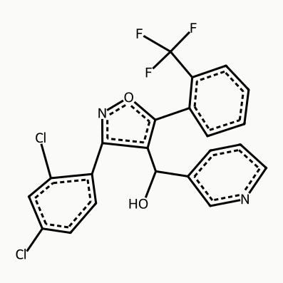 OC(c1cccnc1)c1c(-c2ccc(Cl)cc2Cl)noc1-c1ccccc1C(F)(F)F